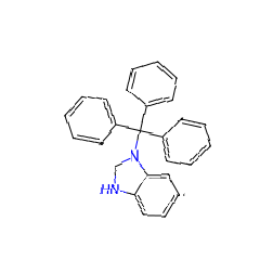 [c]1ccc2c(c1)N(C(c1ccccc1)(c1ccccc1)c1ccccc1)CN2